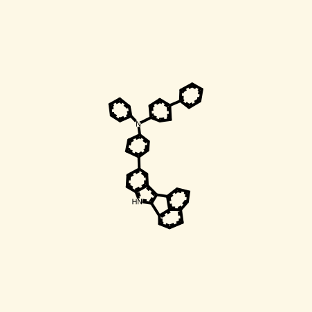 c1ccc(-c2ccc(N(c3ccccc3)c3ccc(-c4ccc5[nH]c6c(c5c4)-c4cccc5cccc-6c45)cc3)cc2)cc1